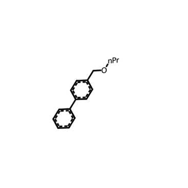 CCCOCc1ccc(-c2ccccc2)cc1